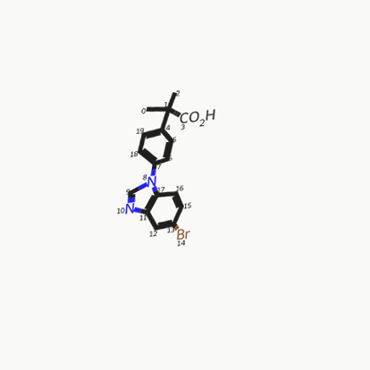 CC(C)(C(=O)O)c1ccc(-n2cnc3cc(Br)ccc32)cc1